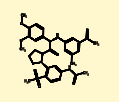 COc1ccc([C@@H](Nc2cc(C)cc(C(N)=O)c2)C(=O)N2CCC[C@@H]2c2cc(NC(C)=O)ccc2S(C)(=O)=O)cc1OC